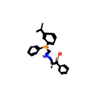 CC(C)c1cccc([P@@](CN[C@@H](C)[C@H](O)c2ccccc2)c2ccccc2)c1